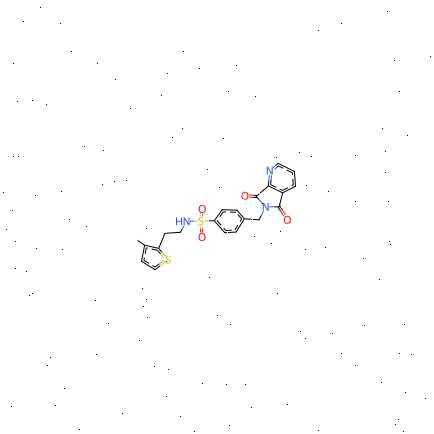 Cc1ccsc1CCNS(=O)(=O)c1ccc(CN2C(=O)c3cccnc3C2=O)cc1